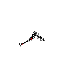 CCCCCCCCOC(=O)Oc1ccc2c(c1)CCC1C2CC[C@]2(C)C(=O)C[C@@H](CCC(=O)Nc3ncc(C)s3)C12